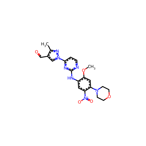 COc1cc(N2CCOCC2)c([N+](=O)[O-])cc1Nc1nccc(-n2cc(C=O)c(C)n2)n1